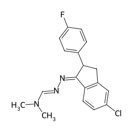 CN(C)C=NN=C1c2ccc(Cl)cc2CC1c1ccc(F)cc1